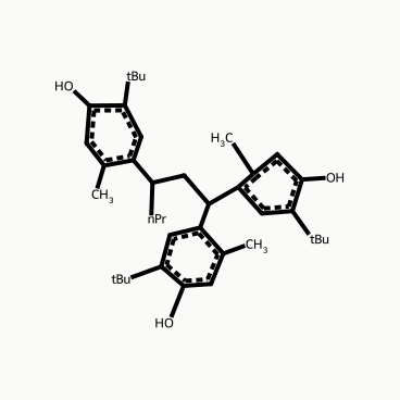 CCCC(CC(c1cc(C(C)(C)C)c(O)cc1C)c1cc(C(C)(C)C)c(O)cc1C)c1cc(C(C)(C)C)c(O)cc1C